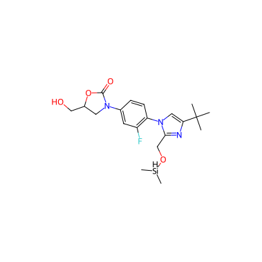 C[SiH](C)OCc1nc(C(C)(C)C)cn1-c1ccc(N2CC(CO)OC2=O)cc1F